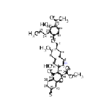 CCCC[C@@H](O)[C@@H](/C=C\CCCCOc1ccc(C(C)=O)c(O)c1CCC)c1c(C(=O)OC)oc2c(c1=O)=CCC(=S)C=2